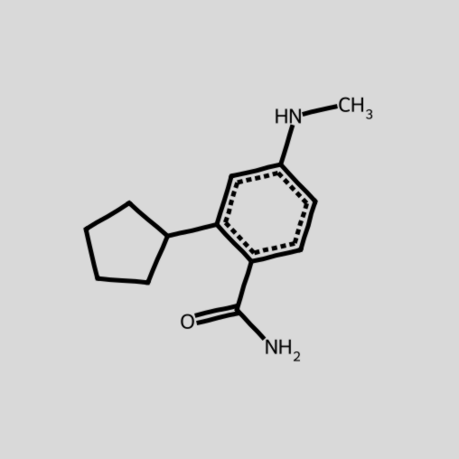 CNc1ccc(C(N)=O)c(C2CCCC2)c1